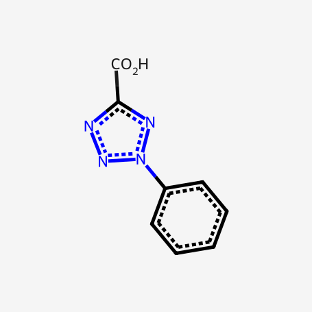 O=C(O)c1nnn(-c2ccccc2)n1